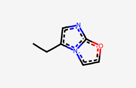 CCc1cnc2occn12